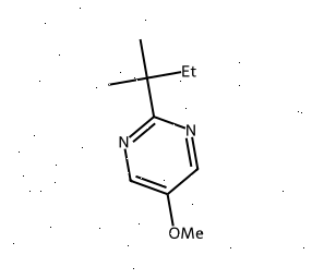 CCC(C)(C)c1ncc(OC)cn1